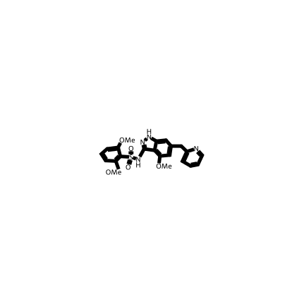 COc1cccc(OC)c1S(=O)(=O)Nc1n[nH]c2cc(Cc3ccccn3)cc(OC)c12